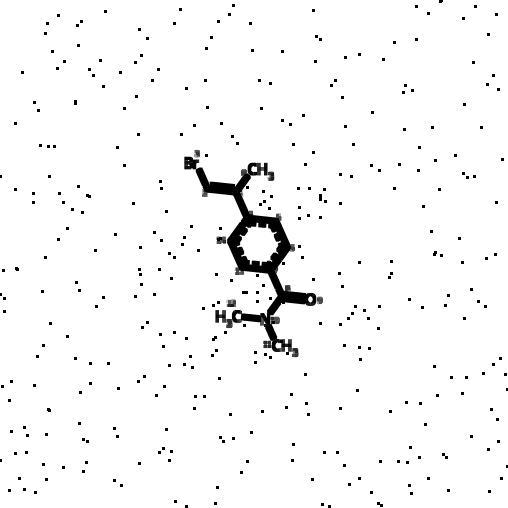 CC(=CBr)c1ccc(C(=O)N(C)C)cc1